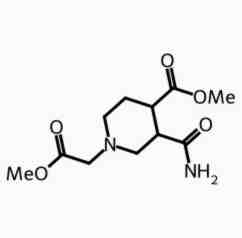 COC(=O)CN1CCC(C(=O)OC)C(C(N)=O)C1